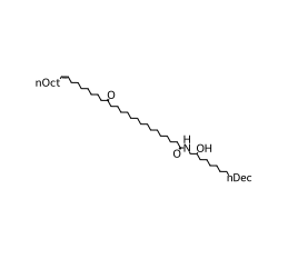 CCCCCCCC/C=C\CCCCCCCC(=O)CCCCCCCCCCCCCCC(=O)NCC(O)CCCCCCCCCCCCCCCC